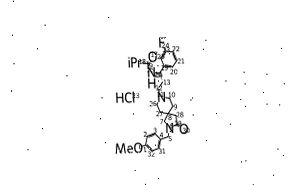 COc1ccc(CN2CC3(CCN(CC[C@H](NC(=O)C(C)C)c4cccc(F)c4)CC3)CC2=O)cc1.Cl